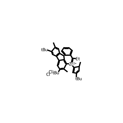 CC/[C](c1ccccc1)=[Zr+2](\[C]1=CC(C(C)(C)C)=CC1C)[c]1c(C)c(C(C)(C)C)cc2c1Cc1cc(C)c(C(C)(C)C)cc1-2.[Cl-].[Cl-]